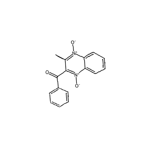 Cc1c(C(=O)c2ccccc2)[n+]([O-])c2ccccc2[n+]1[O-]